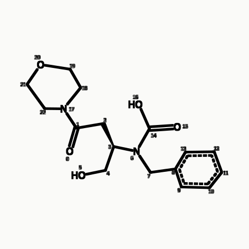 O=C(C[C@H](CO)N(Cc1ccccc1)C(=O)O)N1CCOCC1